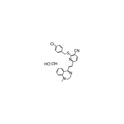 CN1CCN=C(C=Cc2ccc(C#N)c(SCc3ccc(Cl)cc3)n2)c2ccccc21.Cl.Cl